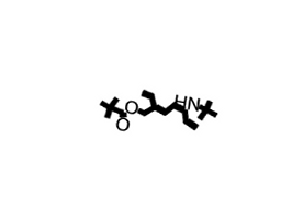 C=C/C(=C\C=C(/C=C)NC(C)(C)C)COC(=O)C(C)(C)C